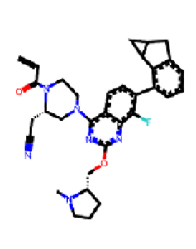 C=CC(=O)N1CCN(c2nc(OC[C@@H]3CCCN3C)nc3c(F)c(-c4cccc5c4C4CC4C5)ccc23)C[C@@H]1CC#N